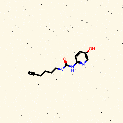 C#CCCCCNC(=O)Nc1ccc(O)cn1